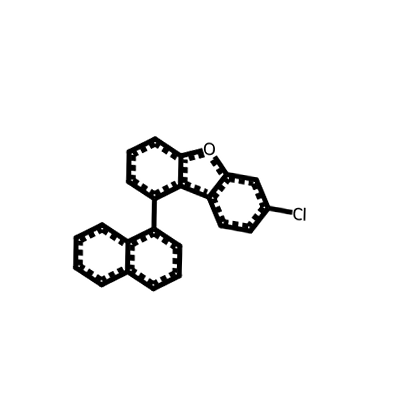 Clc1ccc2c(c1)oc1cccc(-c3cccc4ccccc34)c12